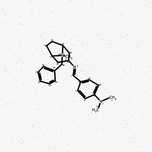 CN(C)c1ccc(C=NC2CC3CCC(C2)[N+]3(C)Cc2ccccc2)cc1